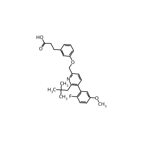 COc1ccc(F)c(-c2ccc(COc3cccc(CCC(=O)O)c3)nc2CC(C)(C)C)c1